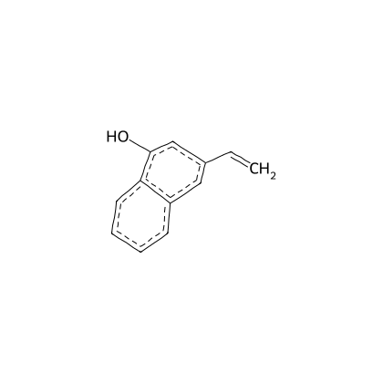 C=Cc1cc(O)c2ccccc2c1